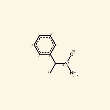 CC(c1ccccc1)[S+](N)[O-]